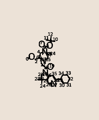 COC[C@H]1CN(C(=O)OC(C)(C)C)[C@H](C)CN1CC(=O)N1CC(C)(C)c2cnc(C3=CCCCC3)cc21